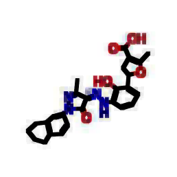 CC1=NN(c2ccc3c(c2)CCCC3)C(=O)/C1=N\Nc1cccc(C2CC(C(=O)O)=C(C)O2)c1O